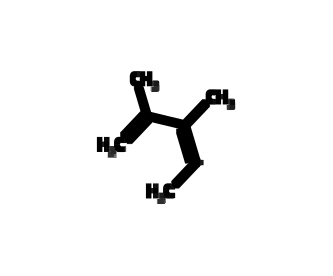 C=C(C)/C(C)=[C]\C